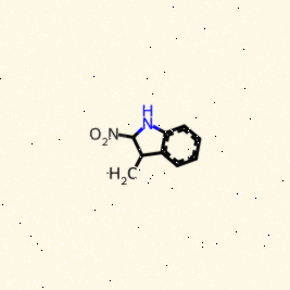 [CH2]C1c2ccccc2NC1[N+](=O)[O-]